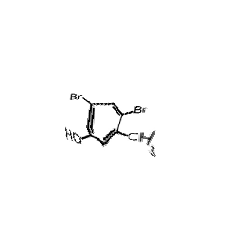 Cc1cc(O)c(Br)cc1Br